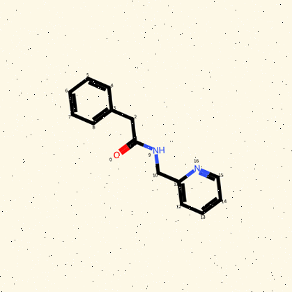 O=C(Cc1[c]cccc1)NCc1ccccn1